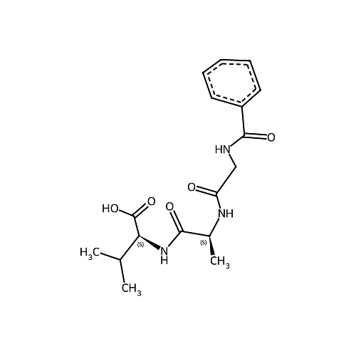 CC(C)[C@H](NC(=O)[C@H](C)NC(=O)CNC(=O)c1ccccc1)C(=O)O